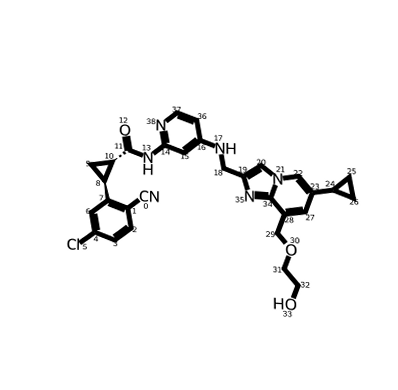 N#Cc1ccc(Cl)cc1[C@H]1C[C@@H]1C(=O)Nc1cc(NCc2cn3cc(C4CC4)cc(COCCO)c3n2)ccn1